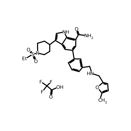 CCS(=O)(=O)N1CCC(c2c[nH]c3c(C(N)=O)cc(-c4cccc(CNCc5ccc(C)o5)c4)cc23)CC1.O=C(O)C(F)(F)F